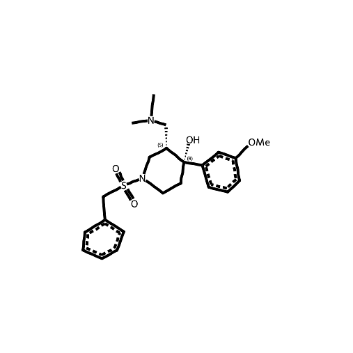 COc1cccc([C@@]2(O)CCN(S(=O)(=O)Cc3ccccc3)C[C@@H]2CN(C)C)c1